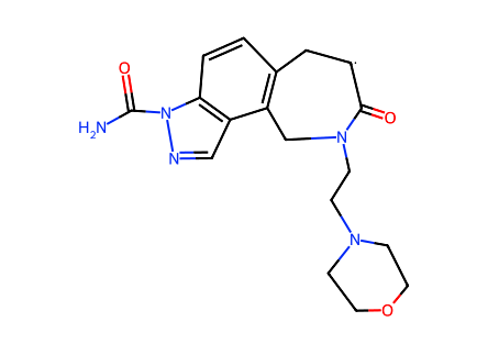 NC(=O)n1ncc2c3c(ccc21)C[CH]C(=O)N(CCN1CCOCC1)C3